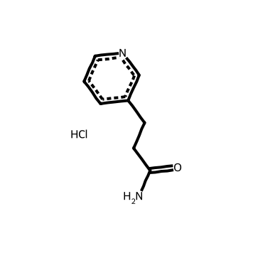 Cl.NC(=O)CCc1cccnc1